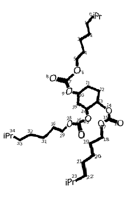 CC(C)CCCCCOC(=O)OC1CCC(OC(=O)OCCCCCC(C)C)C(OC(=O)OCCCCCC(C)C)C1